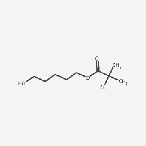 CCC(C)(C)C(=O)OCCCCCO